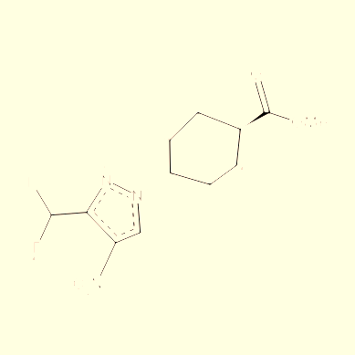 COC(=O)[C@H]1CC[C@H](n2cc([N+](=O)[O-])c(C(F)F)n2)CC1